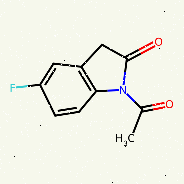 CC(=O)N1C(=O)Cc2cc(F)ccc21